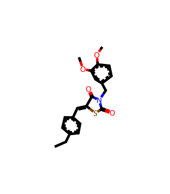 CCc1ccc(/C=C2\SC(=O)N(Cc3ccc(OC)c(OC)c3)C2=O)cc1